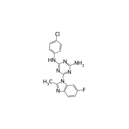 Cc1nc2ccc(F)cc2n1-c1nc(N)nc(Nc2ccc(Cl)cc2)n1